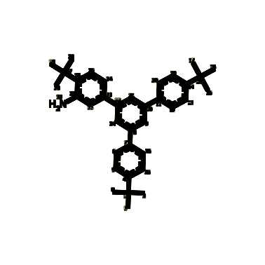 CC(C)(C)c1ccc(-c2cc(-c3ccc(C(C)(C)C)cc3)cc(-c3ccc(C(C)(C)C)c(N)c3)c2)cc1